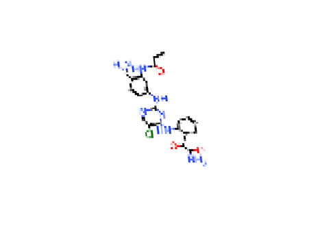 C=CC(=O)Nc1cc(Nc2ncc(Cl)c(Nc3ccccc3C(=O)C(N)=O)n2)ccc1CN